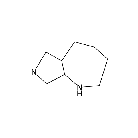 C1CCC2C[N]CC2NC1